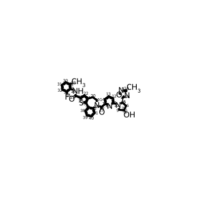 Cc1noc([C@H]2C[C@H](O)CN2c2cccc(C(=O)N3CCc4cc(C(=O)Nc5c(C)cccc5F)sc4-c4ccccc43)n2)n1